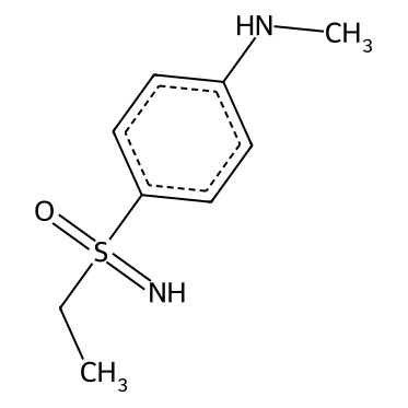 CCS(=N)(=O)c1ccc(NC)cc1